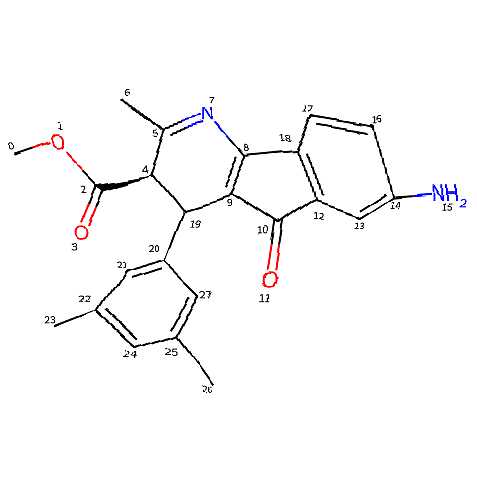 COC(=O)[C@H]1C(C)=NC2=C(C(=O)c3cc(N)ccc32)C1c1cc(C)cc(C)c1